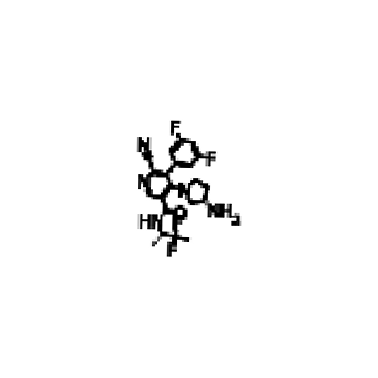 C[C@H](NC(=O)c1cnc(C#N)c(-c2cc(F)cc(F)c2)c1N1CC[C@H](N)C1)C(C)(F)F